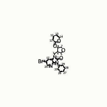 O=c1n(CC2COCC2OC2C=CC=CO2)c2cc(Br)cnc2n1-c1ccccc1